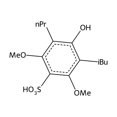 CCCc1c(O)c(C(C)CC)c(OC)c(S(=O)(=O)O)c1OC